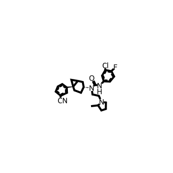 CC1CCCN1CCN(C(=O)Nc1ccc(F)c(Cl)c1)[C@@H]1CC[C@]2(c3cccc(C#N)c3)CC2C1